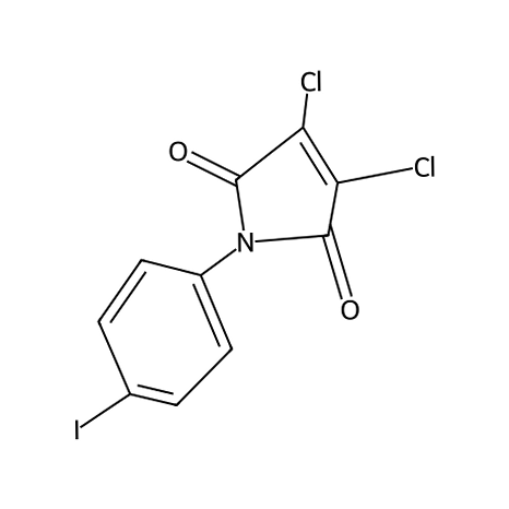 O=C1C(Cl)=C(Cl)C(=O)N1c1ccc(I)cc1